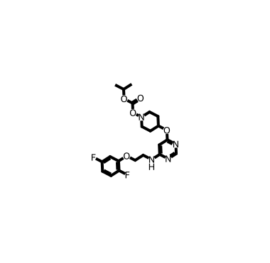 CC(C)OC(=O)ON1CCC(Oc2cc(NCCOc3cc(F)ccc3F)ncn2)CC1